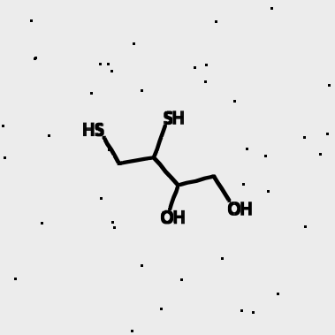 OCC(O)C(S)CS